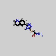 Cn1c(SCC(N)=O)nnc1-c1ccc2ncccc2c1